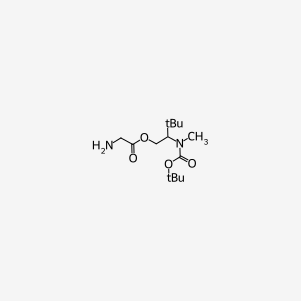 CN(C(=O)OC(C)(C)C)C(COC(=O)CN)C(C)(C)C